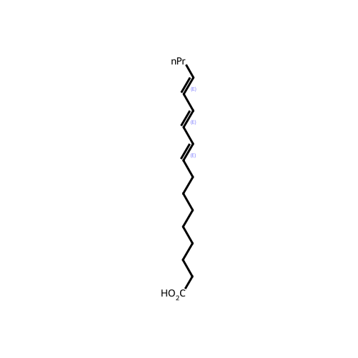 CCC/C=C/C=C/C=C/CCCCCCCC(=O)O